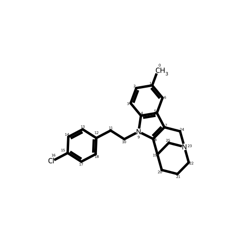 Cc1ccc2c(c1)c1c(n2CCc2ccc(Cl)cc2)C2CCCN(C1)C2